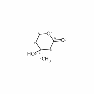 C[C@]1(O)CCOC(=O)C1